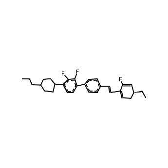 CCCC1CCC(c2ccc(-c3ccc(/C=C/C4=CC[C@H](CC)C=C4F)cc3)c(F)c2F)CC1